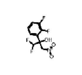 O=[N+]([O-])CC(O)(c1cccc(F)c1F)C(F)F